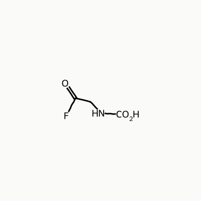 O=C(F)CNC(=O)O